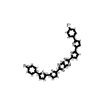 Fc1ccc(-c2ccc(-c3ccc(-c4nc5sc(-c6ccc(-c7ccc(-c8ccc(F)cc8)s7)s6)nc5s4)s3)s2)cc1